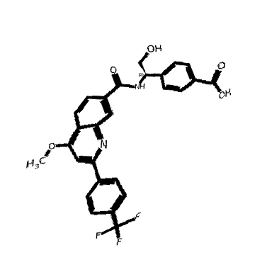 COc1cc(-c2ccc(C(F)(F)F)cc2)nc2cc(C(=O)N[C@@H](CO)c3ccc(C(=O)O)cc3)ccc12